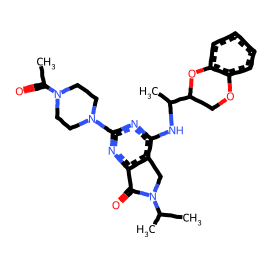 CC(=O)N1CCN(c2nc(NC(C)C3COc4ccccc4O3)c3c(n2)C(=O)N(C(C)C)C3)CC1